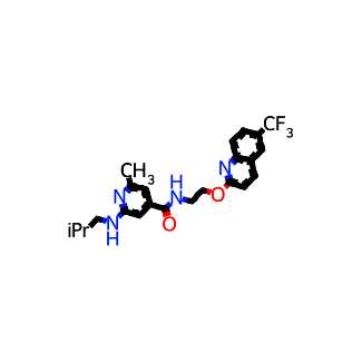 Cc1cc(C(=O)NCCOc2ccc3cc(C(F)(F)F)ccc3n2)cc(NCC(C)C)n1